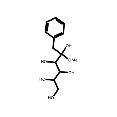 COC(O)(Cc1ccccc1)C(O)C(O)C(O)CO